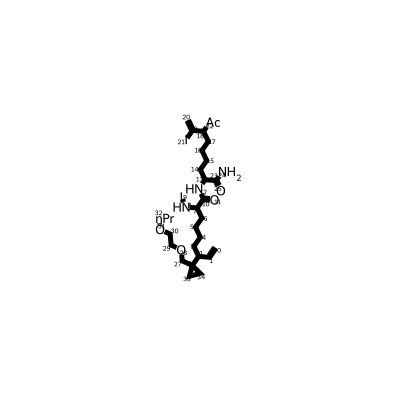 C=CC(CCCCC(NI)C(=O)NC(CCCCC(C(=C)I)C(C)=O)C(N)=O)C1(COCCOCCC)CC1